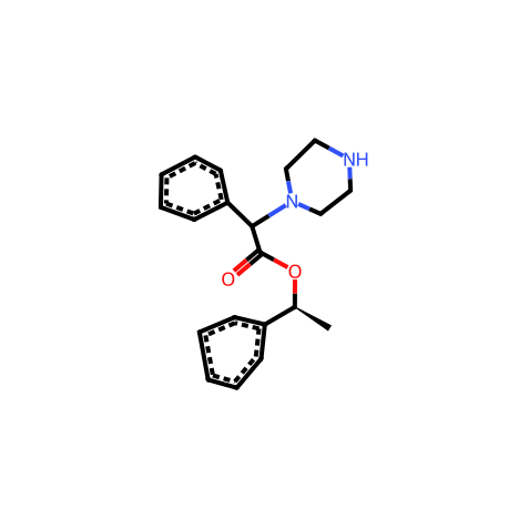 C[C@H](OC(=O)C(c1ccccc1)N1CCNCC1)c1ccccc1